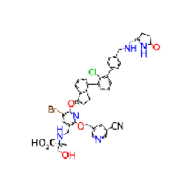 C[C@@](CO)(NCc1cc(Br)c(O[C@H]2CCc3c(-c4cccc(-c5ccc(CNC[C@@H]6CCC(=O)N6)cc5)c4Cl)cccc32)nc1OCc1cncc(C#N)c1)C(=O)O